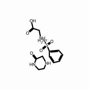 NCC(=O)O.NS(=O)(=O)c1ccccc1.O=C1CNCCN1